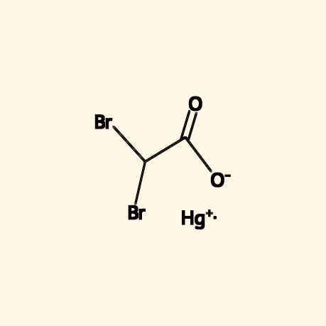 O=C([O-])C(Br)Br.[Hg+]